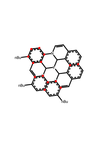 CCCCc1ccc(N2C=Cc3ccccc3[CH]2[Ir]([CH]2c3ccccc3C=CN2c2ccc(CCCC)cc2)[CH]2c3ccccc3C=CN2c2ccc(CCCC)cc2)cc1